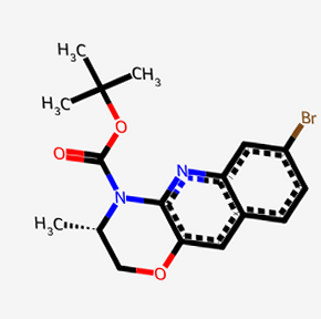 C[C@H]1COc2cc3ccc(Br)cc3nc2N1C(=O)OC(C)(C)C